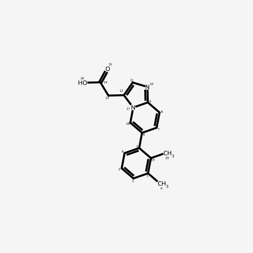 Cc1cccc(-c2ccc3ncc(CC(=O)O)n3c2)c1C